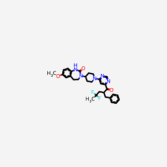 COc1ccc2c(c1)CCN(C1CCN(c3cc(C(=O)C(Cc4ccccc4)CC(C)(F)F)ncn3)CC1)C(=O)N2